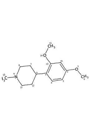 COc1ccc(C2CCN(C)CC2)c(OC)c1